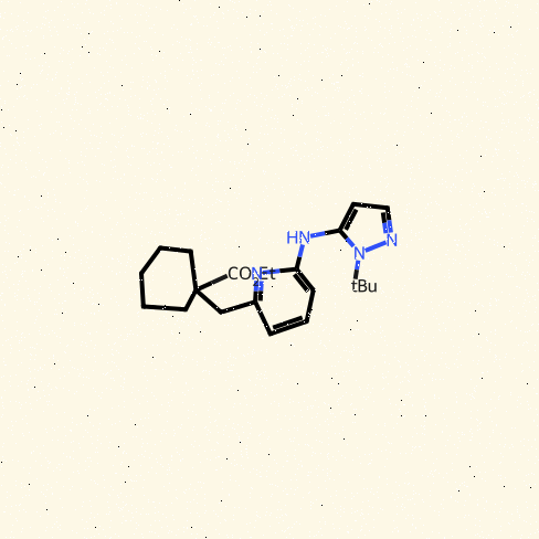 CCOC(=O)C1(Cc2cccc(Nc3ccnn3C(C)(C)C)n2)CCCCC1